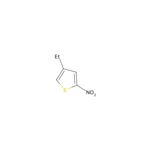 CCc1csc([N+](=O)[O-])c1